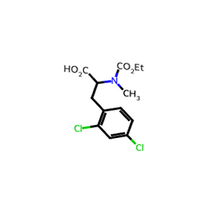 CCOC(=O)N(C)C(Cc1ccc(Cl)cc1Cl)C(=O)O